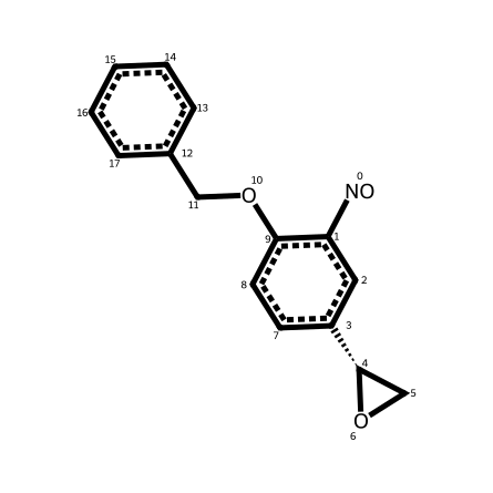 O=Nc1cc([C@@H]2CO2)ccc1OCc1ccccc1